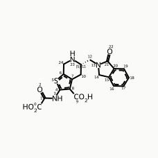 O=C(O)C(=O)Nc1sc2c(c1C(=O)O)C[C@@H](CN1Cc3ccccc3C1=O)NC2